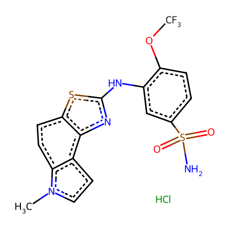 Cl.Cn1ccc2c3nc(Nc4cc(S(N)(=O)=O)ccc4OC(F)(F)F)sc3ccc21